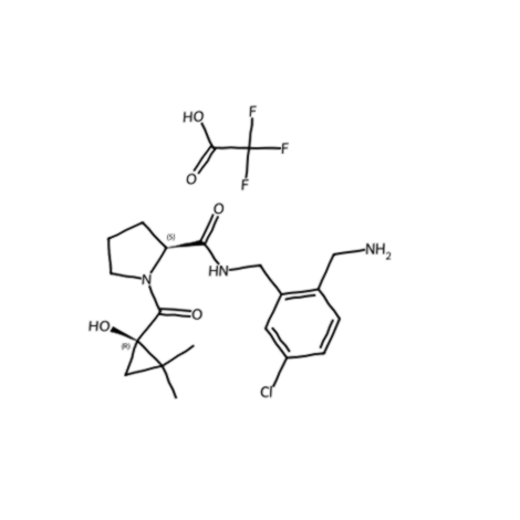 CC1(C)C[C@]1(O)C(=O)N1CCC[C@H]1C(=O)NCc1cc(Cl)ccc1CN.O=C(O)C(F)(F)F